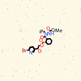 COC(=O)NN(C(=O)[C@@H]1CCCC[C@@H]1C(=O)OCC(=O)c1ccc(Br)nc1)C(C)C